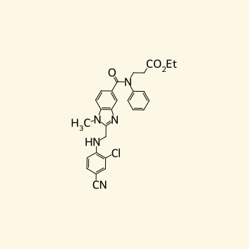 CCOC(=O)CCN(C(=O)c1ccc2c(c1)nc(CNc1ccc(C#N)cc1Cl)n2C)c1ccccc1